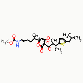 COC(=O)N/C=C/CCC(C)c1cc(O)c(C(=O)C(C)[C@H](C)c2ccc(CC(C)C)s2)c(=O)o1